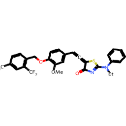 CCN(C1=NC(=O)C(=C=Cc2ccc(OCc3ccc(C(F)(F)F)cc3C(F)(F)F)c(OC)c2)S1)c1ccccc1